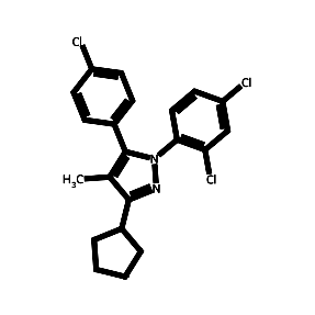 Cc1c(C2C[CH]CC2)nn(-c2ccc(Cl)cc2Cl)c1-c1ccc(Cl)cc1